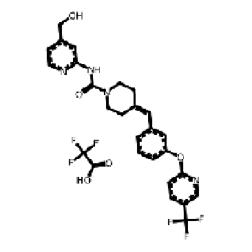 O=C(Nc1cc(CO)ccn1)N1CCC(=Cc2cccc(Oc3ccc(C(F)(F)F)cn3)c2)CC1.O=C(O)C(F)(F)F